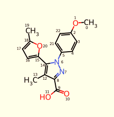 COc1ccc(-n2nc(C(=O)O)c(C)c2-c2ccc(C)o2)cc1